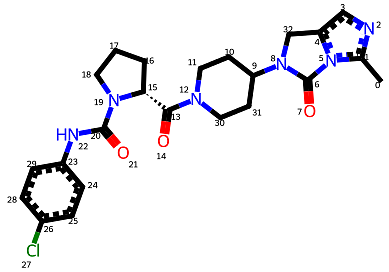 Cc1ncc2n1C(=O)N(C1CCN(C(=O)[C@H]3CCCN3C(=O)Nc3ccc(Cl)cc3)CC1)C2